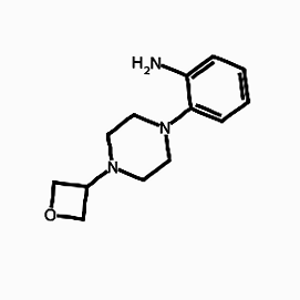 Nc1ccccc1N1CCN(C2COC2)CC1